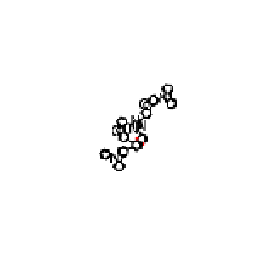 c1ccc(-c2nc(-c3ccc4c(c3)oc3ccc(-n5c6ccccc6c6ccccc65)cc34)nc(-c3cccc4oc5ccc(-c6ccccc6-c6ccc7c(c6)c6ccccc6n7-c6ccccc6)cc5c34)n2)cc1